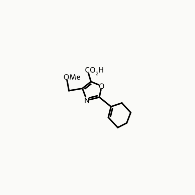 COCc1nc(C2=CCCCC2)oc1C(=O)O